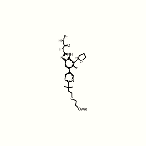 CCNC(=O)Nc1nc2cc(-c3cnc(C(C)(C)[CH]COCCOC)nc3)c(F)c([C@H]3CCCO3)c2[nH]1